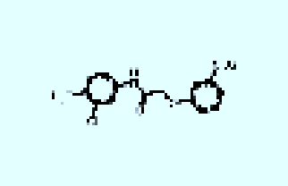 Cc1ccc(NC(=O)COc2cccc(OCC(C)C)c2)cc1Cl